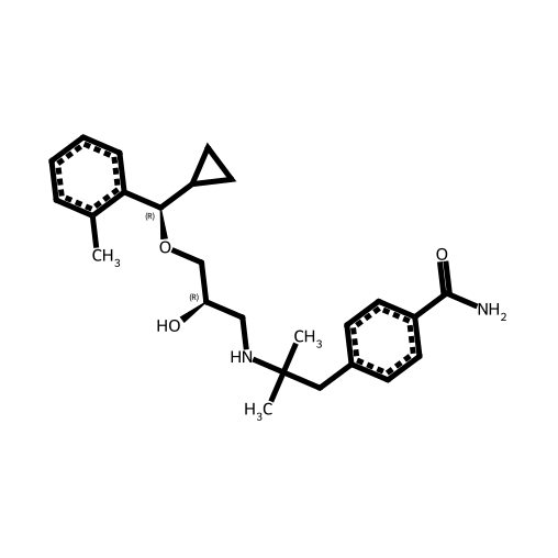 Cc1ccccc1[C@H](OC[C@H](O)CNC(C)(C)Cc1ccc(C(N)=O)cc1)C1CC1